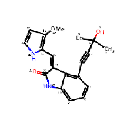 CCC(C)(O)C#Cc1cccc2c1C(=Cc1[nH]ccc1OC)C(=O)N2